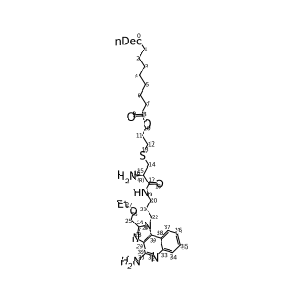 CCCCCCCCCCCCCCCCCC(=O)OCCSC[C@H](N)C(=O)NCCCn1c(COCC)nc2c(N)nc3ccccc3c21